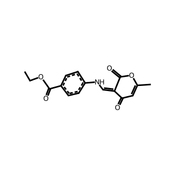 CCOC(=O)c1ccc(NC=C2C(=O)C=C(C)OC2=O)cc1